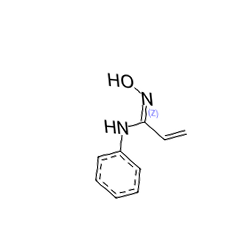 C=C/C(=N/O)Nc1ccccc1